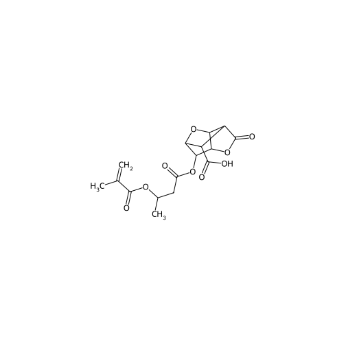 C=C(C)C(=O)OC(C)CC(=O)OC1C2OC(=O)C3C2OC1C3C(=O)O